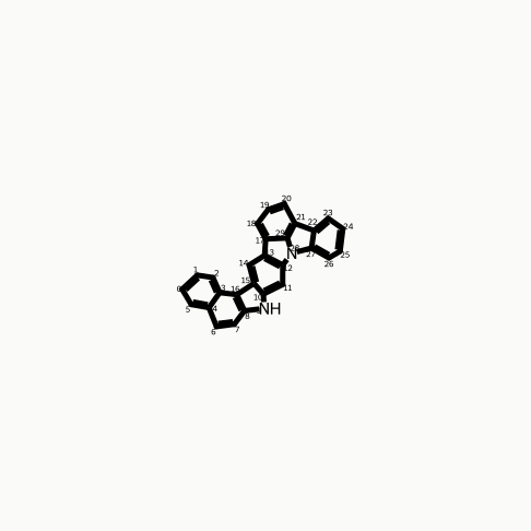 c1ccc2c(c1)ccc1[nH]c3cc4c(cc3c12)c1cccc2c3ccccc3n4c21